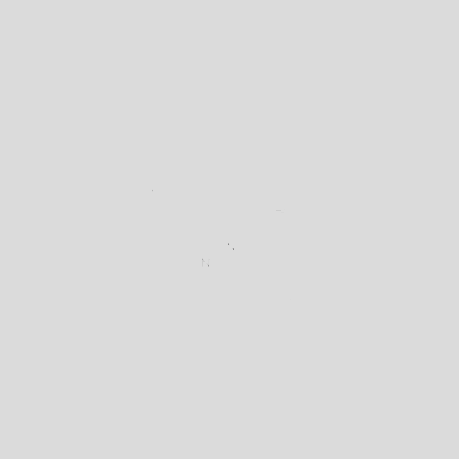 Cc1nn(-c2ccccc2Br)c(C)c1C(=O)O